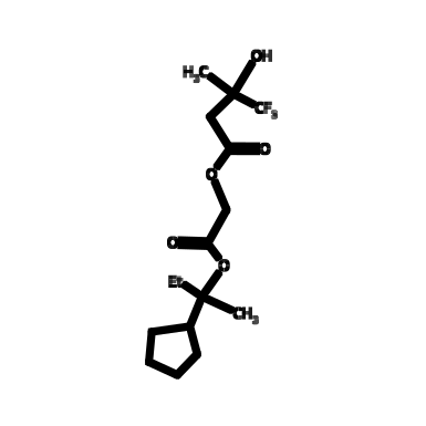 CCC(C)(OC(=O)COC(=O)CC(C)(O)C(F)(F)F)C1CCCC1